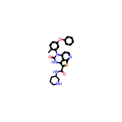 Cc1ccc(Oc2ccccc2)cc1N1C(=O)Nc2c(C(=O)NC3CCCNC3)sc3nccc1c23